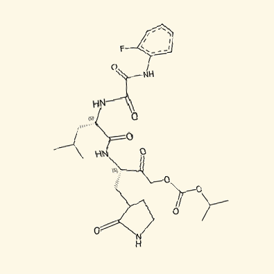 CC(C)C[C@H](NC(=O)C(=O)Nc1ccccc1F)C(=O)N[C@@H](CC1CCNC1=O)C(=O)COC(=O)OC(C)C